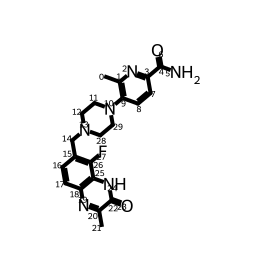 Cc1nc(C(N)=O)ccc1N1CCN(Cc2ccc3nc(C)c(=O)[nH]c3c2F)CC1